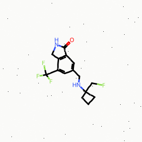 O=C1NCc2c1cc(CNC1(CF)CCC1)cc2C(F)(F)F